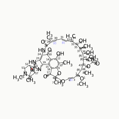 CO[C@H]1/C=C/O[C@@]2(C)Oc3c(C)c(O)c4c(c3C2=O)C2=N[C@@]3(NC2=C(NC(=O)/C(C)=C\C=C\[C@H](C)[C@H](O)[C@@H](C)[C@@H](O)[C@@H](C)[C@H](OC(C)=O)[C@@H]1C)C4=O)C1CN(C)CC3N(C)C1